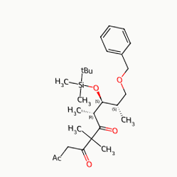 CC(=O)CC(=O)C(C)(C)C(=O)[C@H](C)[C@@H](O[Si](C)(C)C(C)(C)C)[C@@H](C)COCc1ccccc1